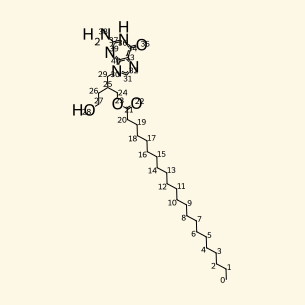 CCCCCCCCCCCCCCCCCCCCCC(=O)OCC(CCO)Cn1cnc2c(=O)[nH]c(N)nc21